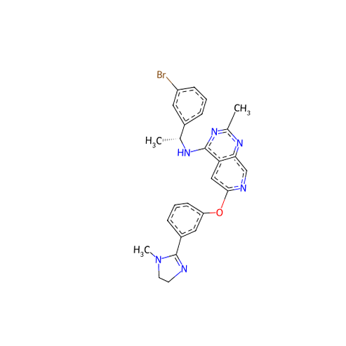 Cc1nc(N[C@H](C)c2cccc(Br)c2)c2cc(Oc3cccc(C4=NCCN4C)c3)ncc2n1